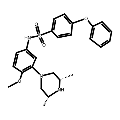 COc1ccc(NS(=O)(=O)c2ccc(Oc3ccccc3)cc2)cc1N1C[C@@H](C)N[C@@H](C)C1